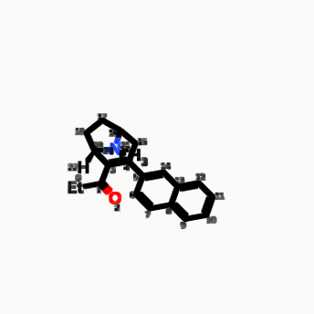 CCC(=O)C1=C(c2ccc3ccccc3c2)CC2CC[C@@H]1N2C